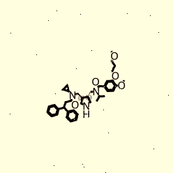 COCCCOc1cc(C(=O)N(C[C@@H]2CNC[C@H]2CN(C(=O)CC(c2ccccc2)c2ccccc2)C2CC2)C(C)C)ccc1OC